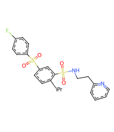 CC(C)c1ccc(S(=O)(=O)c2ccc(F)cc2)cc1S(=O)(=O)NCCc1ccccn1